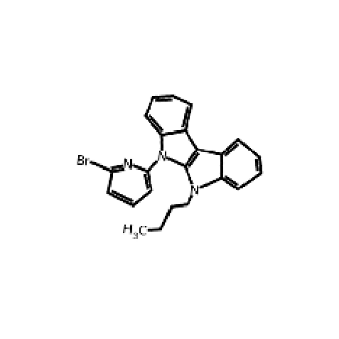 CCCCn1c2ccccc2c2c3ccccc3n(-c3cccc(Br)n3)c21